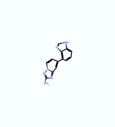 Nc1nc2cc(-c3cccc4[nH]cnc34)ccn2n1